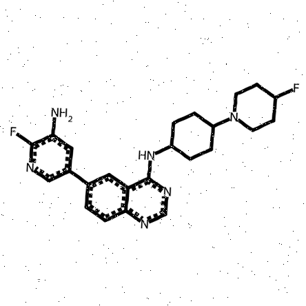 Nc1cc(-c2ccc3ncnc(NC4CCC(N5CCC(F)CC5)CC4)c3c2)cnc1F